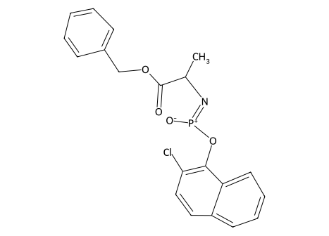 CC(/N=[P+](\[O-])Oc1c(Cl)ccc2ccccc12)C(=O)OCc1ccccc1